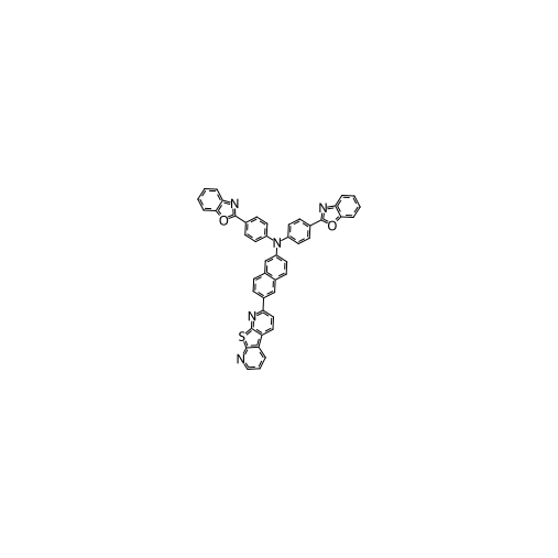 c1ccc2oc(-c3ccc(N(c4ccc(-c5nc6ccccc6o5)cc4)c4ccc5cc(-c6ccc7c(n6)sc6ncccc67)ccc5c4)cc3)nc2c1